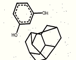 C1C2CC3C4CC5CC(C14)C(C2)C3C5.Oc1cccc(O)c1